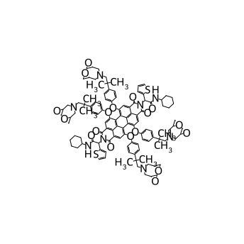 CC(C)(CN(CC1CO1)CC1CO1)c1ccc(Oc2cc3c4c(cc(Oc5ccc(C(C)(C)CN(CC6CO6)CC6CO6)cc5)c5c6c(Oc7ccc(C(C)(C)CN(CC8CO8)CC8CO8)cc7)cc7c8c(cc(Oc9ccc(C(C)(C)CN(CC%10CO%10)CC%10CO%10)cc9)c(c2c45)c86)C(=O)N(C(C(=O)NC2CCCCC2)c2cccs2)C7=O)C(=O)N(C(C(=O)NC2CCCCC2)c2cccs2)C3=O)cc1